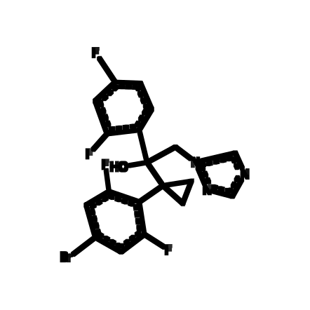 OC(Cn1cncn1)(c1ccc(F)cc1F)C1(c2c(F)cc(Br)cc2F)CC1